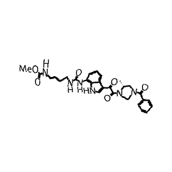 COC(=O)NCCCCNC(=O)Nc1cccc2c(C(=O)C(=O)N3CCN(C(=O)c4ccccc4)C[C@H]3C)c[nH]c12